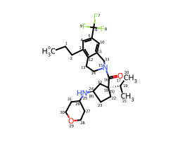 CCCc1cc(C(F)(F)F)cc2c1CCN(C(=O)[C@@]1(C(C)C)CC[C@@H](NC3CCOCC3)C1)C2